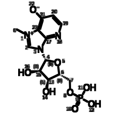 C[n+]1cn([C@@H]2O[C@H](COP(=O)(O)O)[C@@H](O)[C@H]2O)c2nccc([O-])c21